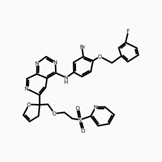 O=S(=O)(CCOCC1(c2cc3c(Nc4ccc(OCc5cccc(F)c5)c(Br)c4)ncnc3cn2)CC=CO1)c1ccccn1